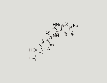 CCC(O)Cc1ccc(C(=O)Nc2c[nH]c3cc(F)c(F)cc23)cn1